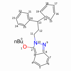 CCCCOc1c2ccccc2nn1CCC(c1ccccc1)c1ccccc1